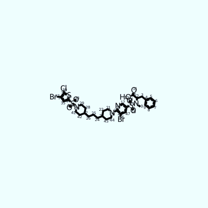 CN(C(Cc1ccccc1)C(=O)O)S(=O)(=O)c1cnc(N2CCC(CCCC3CCN(S(=O)(=O)c4cc(Br)c(Cl)s4)CC3)CC2)c(Br)c1